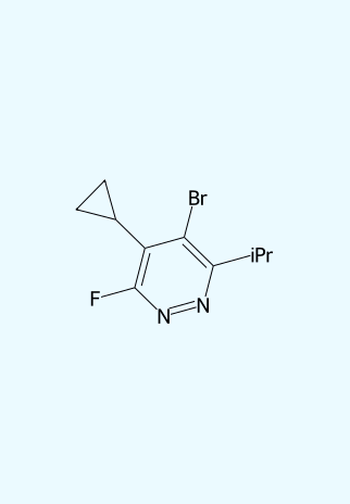 CC(C)c1nnc(F)c(C2CC2)c1Br